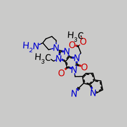 CCn1c(N2CCCC(N)C2)nc2c1c(=O)n(Cc1ccc3cccnc3c1C#N)c(=O)n2CC(=O)OC